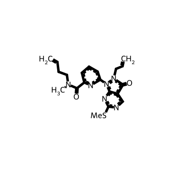 C=CCCN(C)C(=O)c1cccc(-n2c3nc(SC)ncc3c(=O)n2CC=C)n1